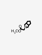 COC(=O)CN1CC2CCCC2C1